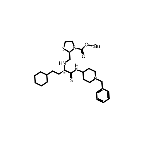 CC(C)(C)OC(=O)N1CCSC1CN[C@H](CCC1CCCCC1)C(=S)NC1CCN(Cc2ccccc2)CC1